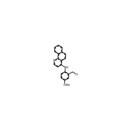 COc1ccc(Nc2ccnc3c2ccc2ccccc23)c(CCl)c1